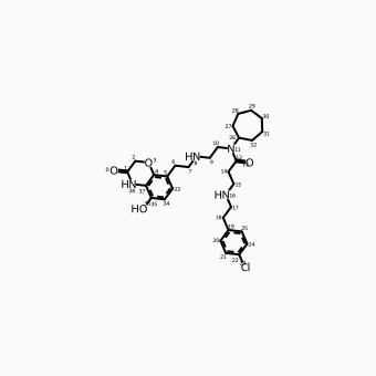 O=C1COc2c(CCNCCN(C(=O)CCNCCc3ccc(Cl)cc3)C3CCCCCC3)ccc(O)c2N1